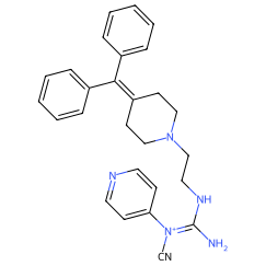 N#C[N+](=C(N)NCCN1CCC(=C(c2ccccc2)c2ccccc2)CC1)c1ccncc1